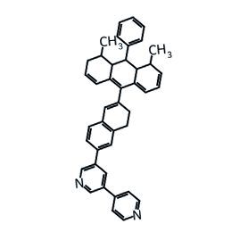 CC1C=CC=C2C(C3=Cc4ccc(-c5cncc(-c6ccncc6)c5)cc4CC3)=C3C=CCC(C)C3C(c3ccccc3)C21